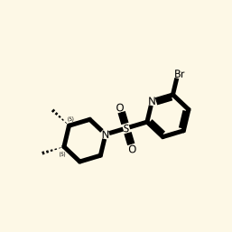 C[C@@H]1CN(S(=O)(=O)c2cccc(Br)n2)CC[C@@H]1C